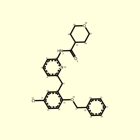 O=C(Nc1cccc(Cc2cc(Cl)ccc2OCc2ccccc2)n1)C1CCOCC1